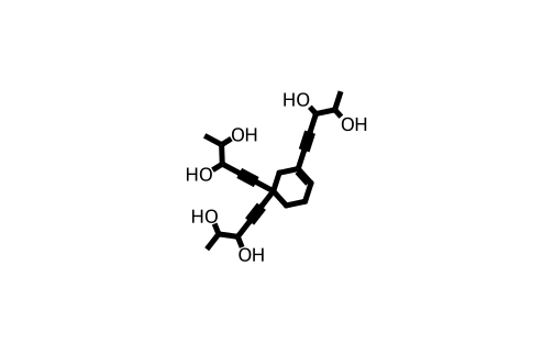 CC(O)C(O)C#CC1=CCCC(C#CC(O)C(C)O)(C#CC(O)C(C)O)C1